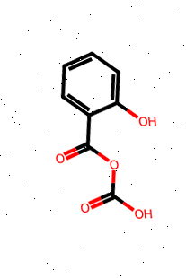 O=C(O)OC(=O)c1ccccc1O